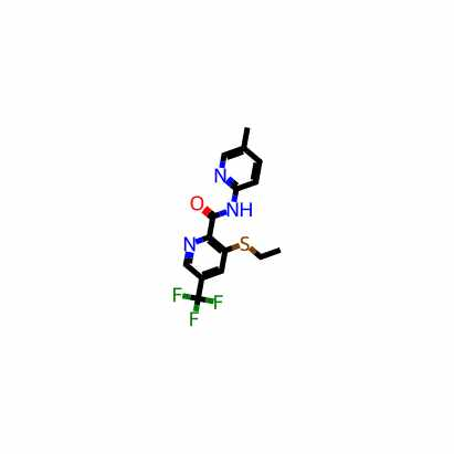 CCSc1cc(C(F)(F)F)cnc1C(=O)Nc1ccc(C)cn1